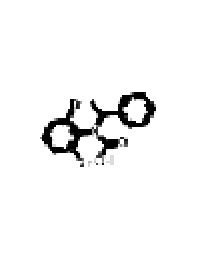 CC(c1ccccc1)N(C(=O)O)c1c(Br)cccc1Br